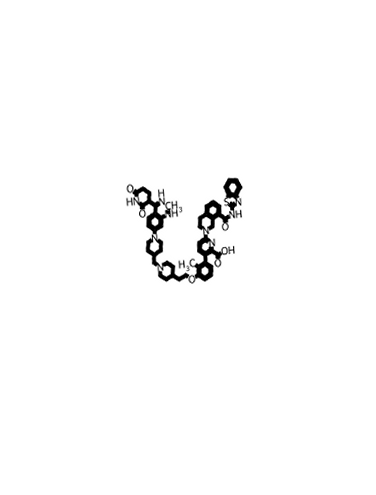 CNc1cc(N2CCC(CN3CCC(CCOc4cccc(-c5ccc(N6CCc7cccc(C(=O)Nc8nc9ccccc9s8)c7C6)nc5C(=O)O)c4C)CC3)CC2)ccc1C(=N)C1CCC(=O)NC1=O